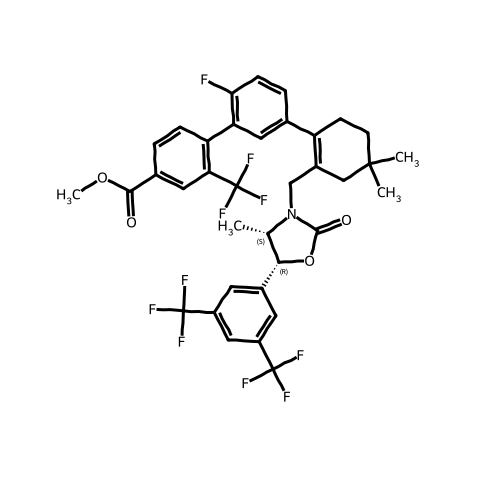 COC(=O)c1ccc(-c2cc(C3=C(CN4C(=O)O[C@H](c5cc(C(F)(F)F)cc(C(F)(F)F)c5)[C@@H]4C)CC(C)(C)CC3)ccc2F)c(C(F)(F)F)c1